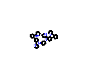 C1=CCNC(c2ccccc2-c2ccc3c(c2)c2ncccc2n3-c2cccc(-n3c4ccc(-c5ccccc5-c5ccccn5)cc4c4ncccc43)c2)=C1